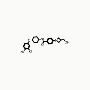 N#Cc1ccc(O[C@H]2CC[C@H](NC(=O)c3ccc(N4CC(CO)C4)cc3)CC2)cc1Cl